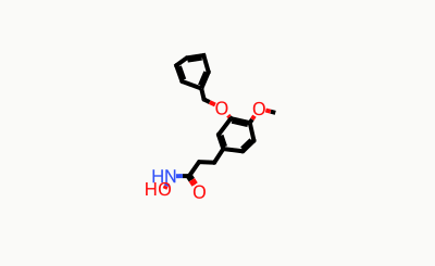 COc1ccc(CCC(=O)NO)cc1OCc1ccccc1